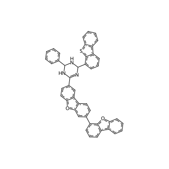 c1ccc(C2NC(c3ccc4oc5cc(-c6cccc7c6oc6ccccc67)ccc5c4c3)=NC(c3cccc4c3sc3ccccc34)N2)cc1